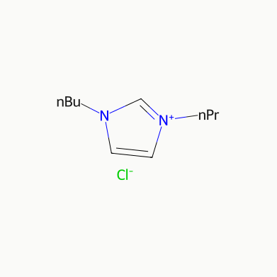 CCCCn1cc[n+](CCC)c1.[Cl-]